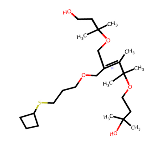 C/C(=C(/COCCCSC1CCC1)COC(C)(C)CCO)C(C)(C)OCCC(C)(C)O